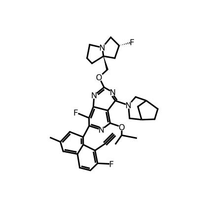 C#Cc1c(F)ccc2cc(C)cc(-c3nc(OC(C)C)c4c(N5CC6CCC(C6)C5)nc(OC[C@@]56CCCN5C[C@H](F)C6)nc4c3F)c12